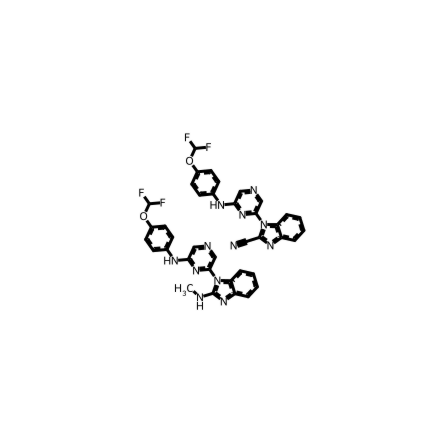 CNc1nc2ccccc2n1-c1cncc(Nc2ccc(OC(F)F)cc2)n1.N#Cc1nc2ccccc2n1-c1cncc(Nc2ccc(OC(F)F)cc2)n1